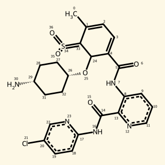 CC1=CC=C(C(=O)Nc2cccnc2C(=O)Nc2ccc(Cl)cn2)C(O[C@H]2CC[C@@H](N)CC2)C1=S(=O)=O